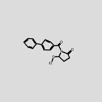 CCOC1CCC(=O)N1C(=O)c1ccc(-c2ccccc2)cc1